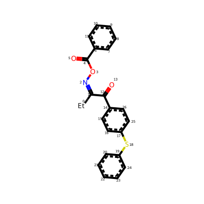 CCC(=NOC(=O)c1ccccc1)C(=O)c1ccc(Sc2ccccc2)cc1